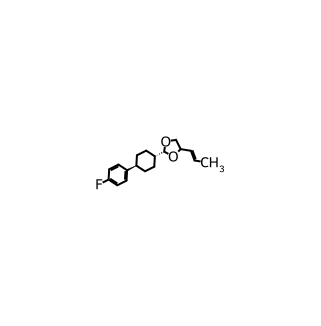 CC=CC1COC([C@H]2CC[C@H](c3ccc(F)cc3)CC2)O1